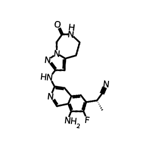 C[C@@H](C#N)c1cc2cc(Nc3cc4n(n3)CC(=O)NCC4)ncc2c(N)c1F